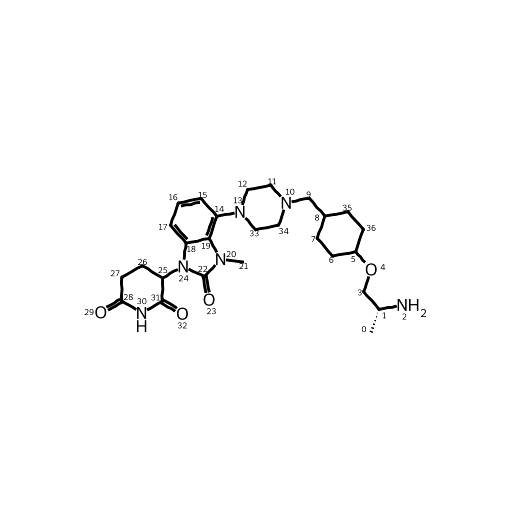 C[C@@H](N)COC1CCC(CN2CCN(c3cccc4c3n(C)c(=O)n4C3CCC(=O)NC3=O)CC2)CC1